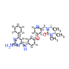 CCN(C)C(=O)N(CC)Cc1cc(Oc2ccc(Nc3cc(-c4ccccc4)nc(N)n3)cc2)ccn1